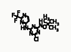 CC(C)(C)ONc1nc(Cl)nc(Nc2ccnc(C(F)(F)F)n2)n1